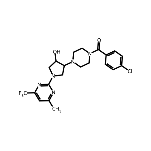 Cc1cc(C(F)(F)F)nc(N2CC(O)C(N3CCN(C(=O)c4ccc(Cl)cc4)CC3)C2)n1